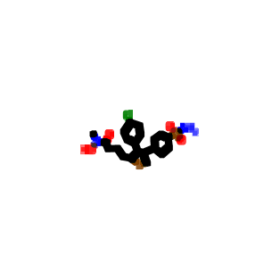 CN(O)C(=O)CCCc1scc(-c2ccc(S(N)(=O)=O)cc2)c1-c1ccc(Cl)cc1